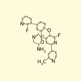 Cc1cc(-c2cc3c(c(F)n2)Oc2ccc(-c4cccnc4F)cc2[C@@]32C=NCC(N)O2)ccn1